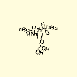 CCCCC(=O)Nc1cc(OCC(O)CO)cc(NC(=O)CCCC)n1